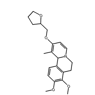 COc1ccc2c(c1OC)CCN1C=CC(OCC3CCCO3)=C(C)C21